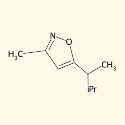 Cc1cc(C(C)C(C)C)on1